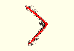 O.O.O.O.O.O.O=S(=O)([O-])[O-].O=S(=O)([O-])[O-].O=S(=O)([O-])[O-].O=S(=O)([O-])[O-].O=S(=O)([O-])[O-].O=S(=O)([O-])[O-].O=S(=O)([O-])[O-].O=[Si]([O-])[O-].O=[Si]([O-])[O-].O=[Si]([O-])[O-].O=[Si]([O-])[O-].O=[Si]([O-])[O-].O=[Si]([O-])[O-].O=[Si]([O-])[O-].[Al+3].[Al+3].[Al+3].[Al+3].[Al+3].[Al+3].[Ca+2].[Ca+2].[Ca+2].[Ca+2].[Ca+2].[Ca+2].[Cl-].[Cl-].[Cl-].[Cl-].[Cl-].[Cl-].[Cl-].[F-].[F-].[F-].[F-].[F-].[F-].[F-].[K+].[K+].[K+].[K+].[K+].[K+].[Na+].[Na+].[Na+].[Na+].[Na+].[Na+]